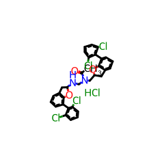 CC(=O)N(CNC1Cc2cccc(-c3c(Cl)cccc3Cl)c2O1)CC1Cc2cccc(-c3c(Cl)cccc3Cl)c2O1.Cl